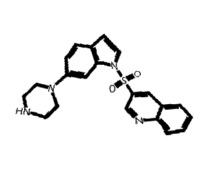 O=S(=O)(c1cnc2ccccc2c1)n1ccc2ccc(N3CCNCC3)cc21